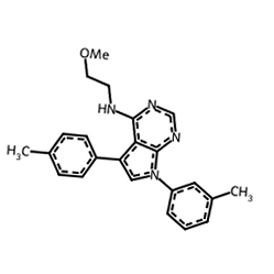 COCCNc1ncnc2c1c(-c1ccc(C)cc1)cn2-c1cccc(C)c1